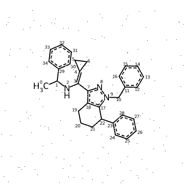 CC(NC(=C1CC1)c1nn(Cc2ccccc2)c2c1CCCC2c1ccccc1)c1ccccc1